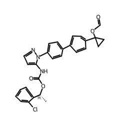 C[C@@H](OC(=O)Nc1ccnn1-c1ccc(-c2ccc(C3(OC=O)CC3)cc2)cc1)c1ccccc1Cl